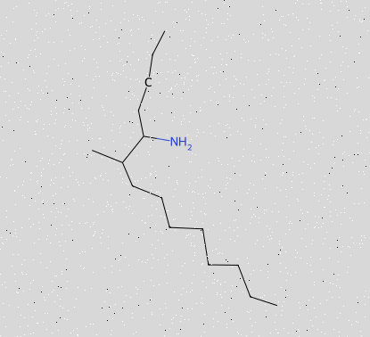 CCCCCCCCC(C)C(N)CCCC